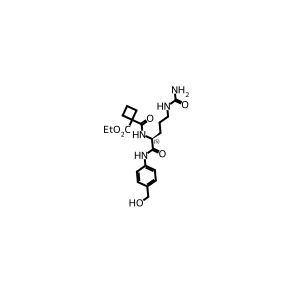 CCOC(=O)C1(C(=O)N[C@@H](CCCNC(N)=O)C(=O)Nc2ccc(CO)cc2)CCC1